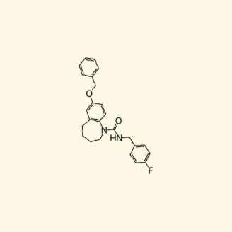 O=C(NCc1ccc(F)cc1)N1CCCCc2cc(OCc3ccccc3)ccc21